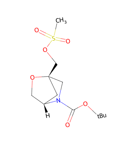 CC(C)(C)OC(=O)N1C[C@]2(COS(C)(=O)=O)C[C@H]1CO2